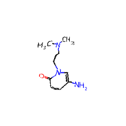 CN(C)CCn1cc(N)ccc1=O